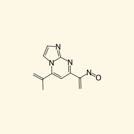 C=C(N=O)c1cc(C(=C)C)n2ccnc2n1